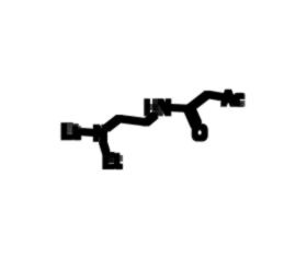 CCN(CC)CCNC(=O)CC(C)=O